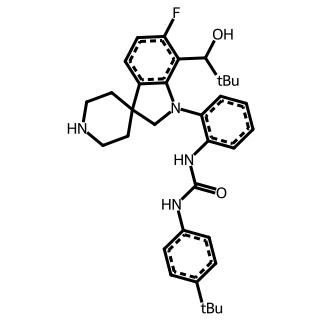 CC(C)(C)c1ccc(NC(=O)Nc2ccccc2N2CC3(CCNCC3)c3ccc(F)c(C(O)C(C)(C)C)c32)cc1